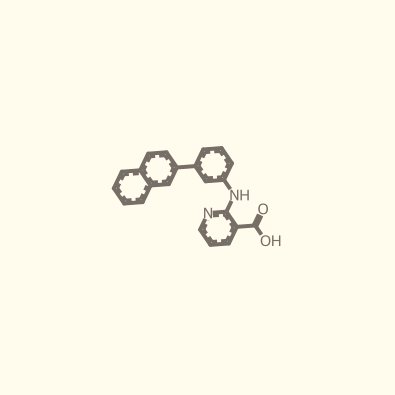 O=C(O)c1cccnc1Nc1cccc(-c2ccc3ccccc3c2)c1